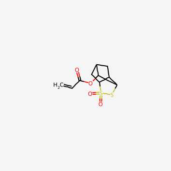 C=CC(=O)OC1C2CC3C1SS(=O)(=O)C3C2